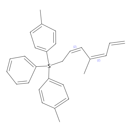 C=C/C=C(C)\C=C/CS(c1ccccc1)(c1ccc(C)cc1)c1ccc(C)cc1